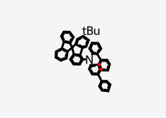 CC(C)(C)c1ccc2c(c1)C1(c3ccccc3-c3ccccc31)c1cccc(N(c3ccc(-c4ccccc4)cc3)c3ccccc3-c3ccccc3)c1-2